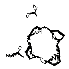 C1=Cc2cc3ccc(cc4nc(cc5ccc(cc1n2)[nH]5)C=C4)[nH]3.CC(=O)[O-].CC(=O)[O-].[Mn+2]